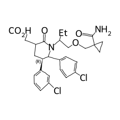 CCC(COCC1(C(N)=O)CC1)N1C(=O)C(CC(=O)O)C[C@H](c2cccc(Cl)c2)C1c1ccc(Cl)cc1